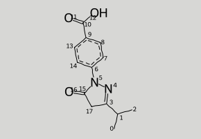 CC(C)C1=NN(c2ccc(C(=O)O)cc2)C(=O)C1